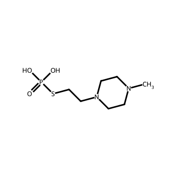 CN1CCN(CCSP(=O)(O)O)CC1